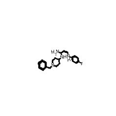 NC(/C=C\Nc1ccc(F)cc1)NC1CCN(Cc2ccccc2)CC1